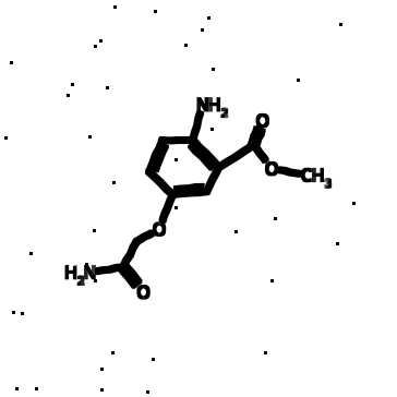 COC(=O)c1cc(OCC(N)=O)ccc1N